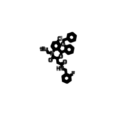 CC(C)(C)CN1C(=O)C(CC(=O)NCc2ccccc2F)OC(c2ccccc2OCc2ccccc2)c2cc(Cl)ccc21